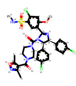 CCOc1cc(Cl)c(S(=O)(=O)NC(C)C)cc1C1=N[C@@H](c2ccc(Cl)cc2)[C@@H](c2ccc(Cl)cc2)N1C(=O)N1CCN(C(=O)c2c(C)noc2C)CC1